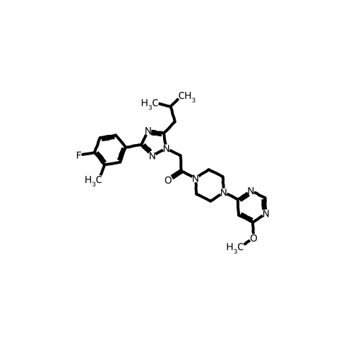 COc1cc(N2CCN(C(=O)Cn3nc(-c4ccc(F)c(C)c4)nc3CC(C)C)CC2)ncn1